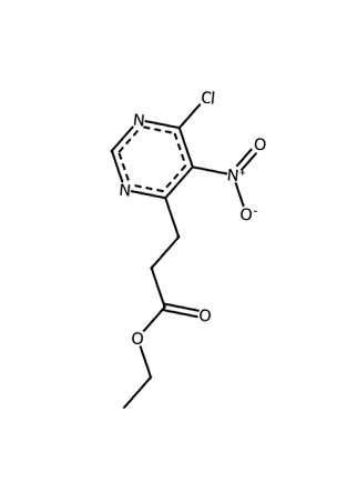 CCOC(=O)CCc1ncnc(Cl)c1[N+](=O)[O-]